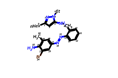 CCCCCCc1cc(N)n(CC)n1.Cc1ccccc1N=Nc1cc(C)c(N)c(Br)c1